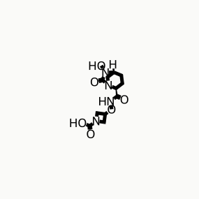 O=C(NOC1CN(C(=O)O)C1)[C@@H]1CC[C@@H]2CN1C(=O)N2O